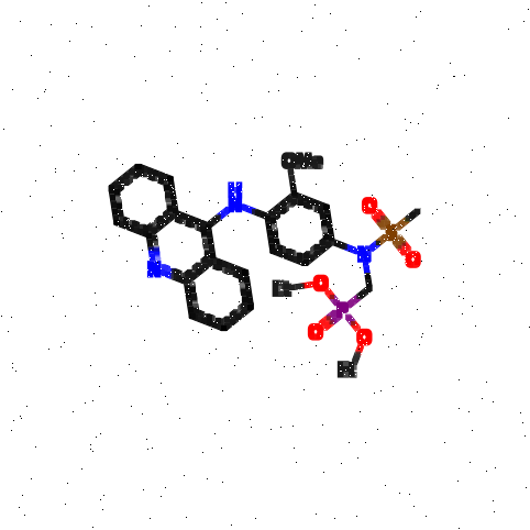 CCOP(=O)(CN(c1ccc(Nc2c3ccccc3nc3ccccc23)c(OC)c1)S(C)(=O)=O)OCC